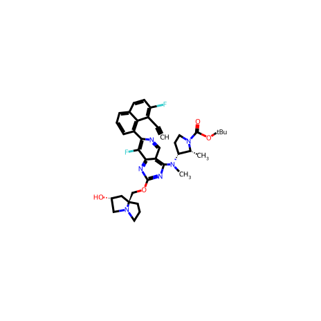 C#Cc1c(F)ccc2cccc(-c3ncc4c(N(C)[C@@H]5CCN(C(=O)OC(C)(C)C)[C@@H]5C)nc(OC[C@@]56CCCN5C[C@H](O)C6)nc4c3F)c12